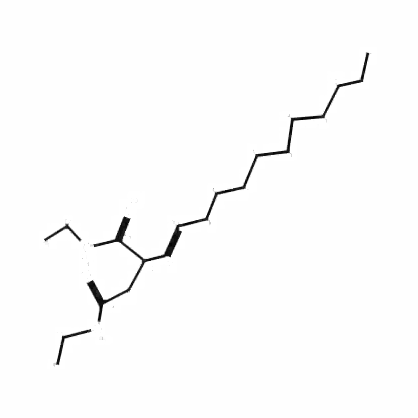 CCCCCCCCCCC=CC(CC(=O)OCC)C(=O)OCC